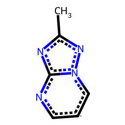 Cc1nc2nc[c]cn2n1